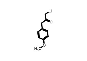 COc1ccc(CC(=O)CCl)cc1